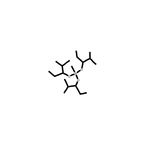 CCC(O[Si](C)(OC(CC)C(C)C)OC(CC)C(C)C)C(C)C